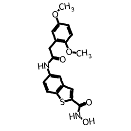 COc1ccc(OC)c(CC(=O)Nc2ccc3sc(C(=O)NO)cc3c2)c1